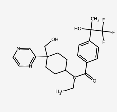 CCN(C(=O)c1ccc(C(C)(O)C(F)(F)F)cc1)C1CCC(CO)(c2cnccn2)CC1